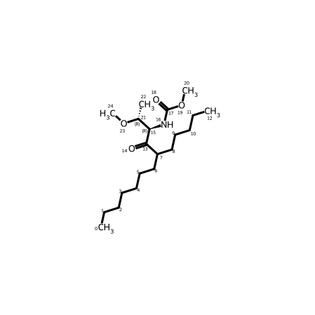 CCCCCCCC(CCCCC)C(=O)[C@H](NC(=O)OC)[C@@H](C)OC